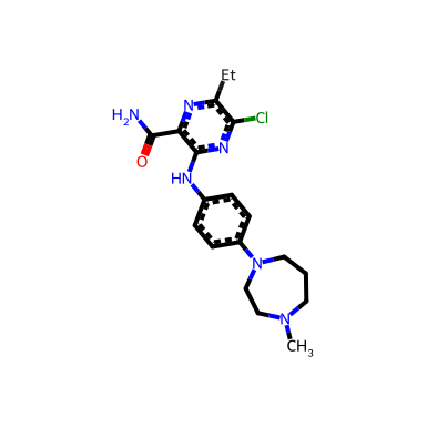 CCc1nc(C(N)=O)c(Nc2ccc(N3CCCN(C)CC3)cc2)nc1Cl